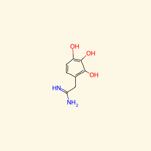 N=C(N)Cc1ccc(O)c(O)c1O